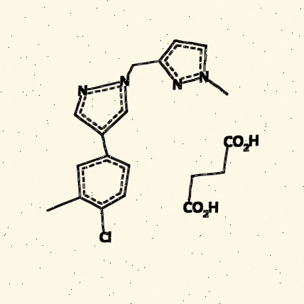 Cc1cc(-c2cnn(Cc3ccn(C)n3)c2)ccc1Cl.O=C(O)CCC(=O)O